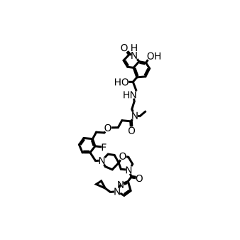 CCN(CCNCC(O)c1ccc(O)c2[nH]c(=O)ccc12)C(=O)CCOCCc1cccc(CN2CCC3(CC2)CN(C(=O)c2ccn(CC4CC4)n2)CCO3)c1F